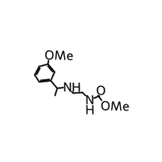 COC(=O)NCCNC(C)c1cccc(OC)c1